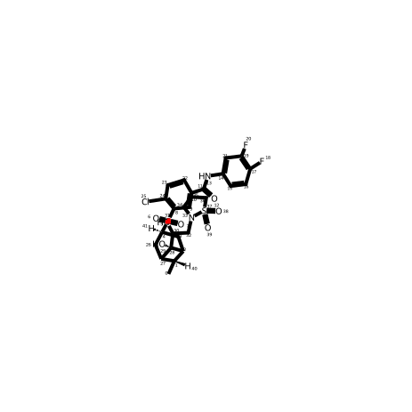 C[C@H]1C2C[C@H](S(=O)(=O)c3cc(C(=O)Nc4ccc(F)c(F)c4)ccc3Cl)CC1[C@@]2(O)C(O)CN1CCCS1(=O)=O